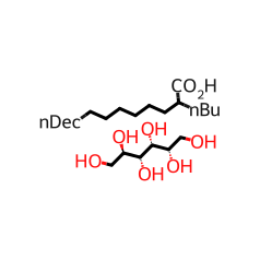 CCCCCCCCCCCCCCCCC(CCCC)C(=O)O.OC[C@@H](O)[C@@H](O)[C@H](O)[C@@H](O)CO